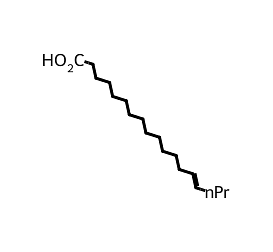 CCCC=CCCCCCCCCCCCCC(=O)O